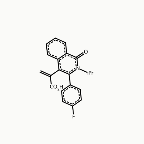 C=C(C(=O)O)c1c(-c2ccc(F)cc2)n(C(C)C)c(=O)c2ccccc12